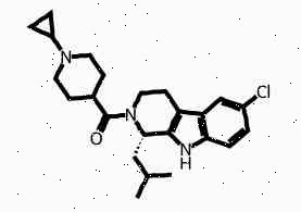 CC(C)C[C@H]1c2[nH]c3ccc(Cl)cc3c2CCN1C(=O)C1CCN(C2CC2)CC1